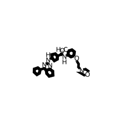 Cc1ccc(OCCCN2CCOCC2)cc1NC(=O)c1ccc(Nc2nc(-c3ccccc3)c3ccccc3n2)cc1